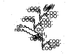 CCCC/C=C/CCCCCCCC(N)=O.CCCC/C=C/CCCCCCCC(N)=O.O=C([O-])CN(CCN(CC(=O)[O-])CC(=O)[O-])CCN(CC(=O)[O-])CC(=O)[O-].O=C([O-])CN(CCN(CC(=O)[O-])CC(=O)[O-])CCN(CC(=O)[O-])CC(=O)[O-].O=C([O-])CN(CCN(CC(=O)[O-])CC(=O)[O-])CCN(CC(=O)[O-])CC(=O)[O-].[Gd+3].[Gd+3].[Gd+3].[Gd+3].[Gd+3]